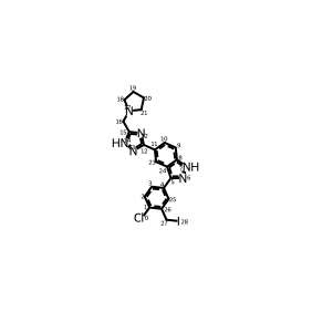 Clc1ccc(-c2n[nH]c3ccc(-c4n[nH]c(CN5CCCC5)n4)cc23)cc1CI